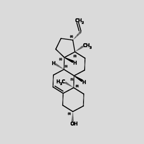 C=C[C@H]1CC[C@H]2[C@@H]3CC=C4C[C@@H](O)CC[C@]4(C)[C@H]3CC[C@]12C